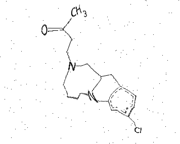 CC(=O)CCN1CCCN2c3cc(Cl)ccc3CC2C1